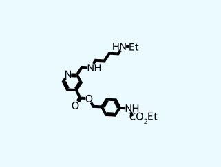 CCNCCCCNCc1cc(C(=O)OCc2ccc(NC(=O)OCC)cc2)ccn1